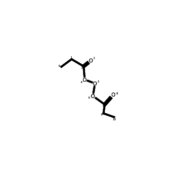 CCC(=O)OOOC(=O)CC